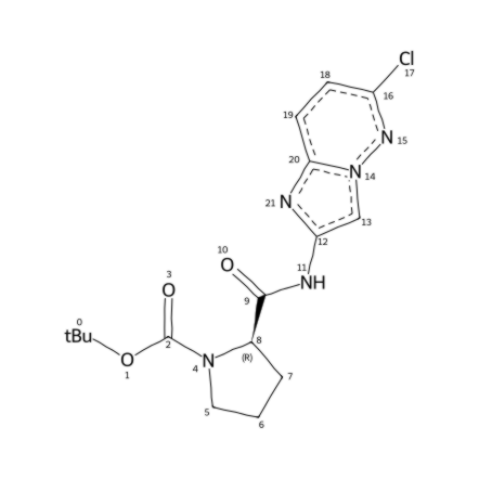 CC(C)(C)OC(=O)N1CCC[C@@H]1C(=O)Nc1cn2nc(Cl)ccc2n1